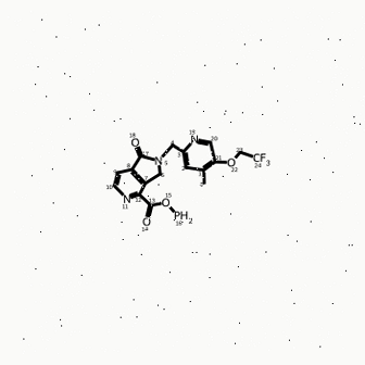 Cc1cc(CN2Cc3c(ccnc3C(=O)OP)C2=O)ncc1OCC(F)(F)F